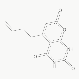 C=CCCc1cc(=O)oc2[nH]c(=O)[nH]c(=O)c12